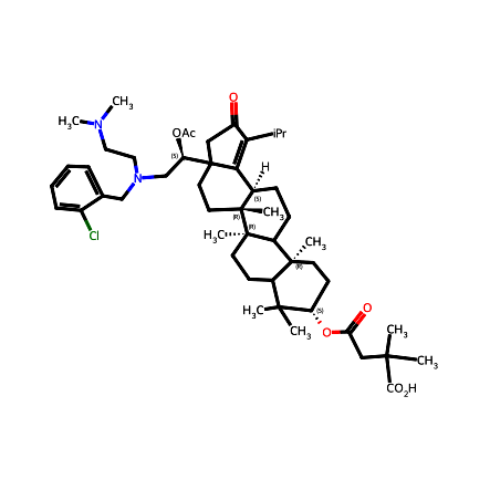 CC(=O)O[C@H](CN(CCN(C)C)Cc1ccccc1Cl)C12CC[C@]3(C)[C@H](CCC4[C@@]5(C)CC[C@H](OC(=O)CC(C)(C)C(=O)O)C(C)(C)C5CC[C@]43C)C1=C(C(C)C)C(=O)C2